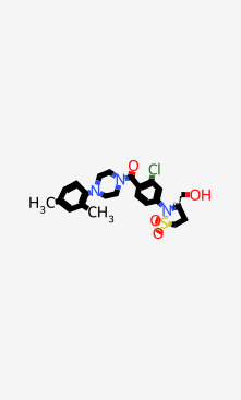 Cc1ccc(N2CCN(C(=O)c3ccc(N4[C@H](CO)CCS4(=O)=O)cc3Cl)CC2)c(C)c1